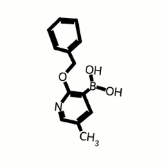 Cc1cnc(OCc2ccccc2)c(B(O)O)c1